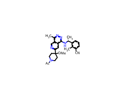 COC1(c2cc3c(N[C@H](C)c4cccc(C#N)c4C)nnc(C)c3cn2)CCN(C(C)=O)CC1